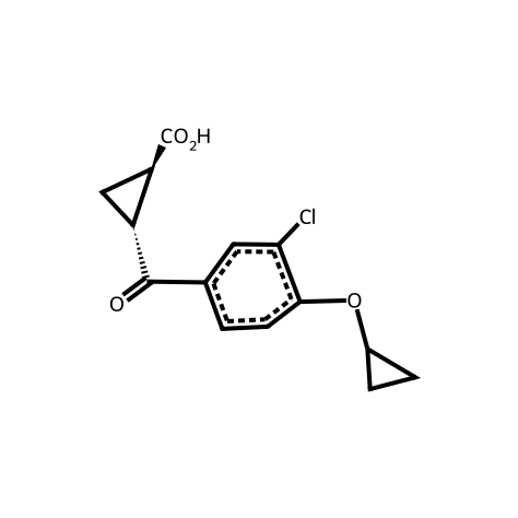 O=C(O)[C@@H]1C[C@H]1C(=O)c1ccc(OC2CC2)c(Cl)c1